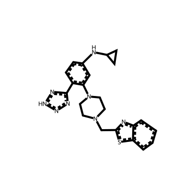 c1ccc2sc(CN3CCN(c4cc(NC5CC5)ccc4-c4nn[nH]n4)CC3)nc2c1